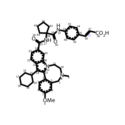 COc1ccc2c(c1)CN(C)CCn1c-2c(C2CCCCC2)c2ccc(C(=O)NC3(C(=O)Nc4ccc(/C=C/C(=O)O)cc4)CCCC3)cc21